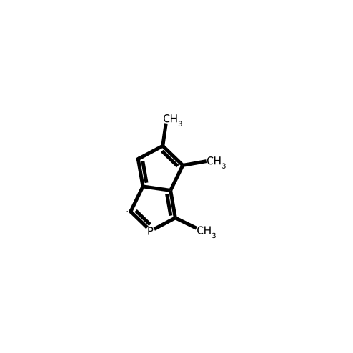 CC1=C(C)C2=C(C)P=[C]C2=C1